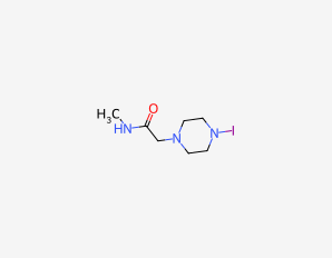 CNC(=O)CN1CCN(I)CC1